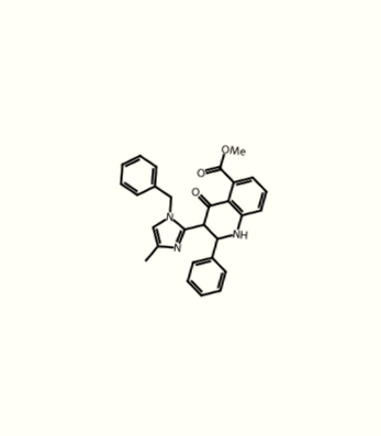 COC(=O)c1cccc2c1C(=O)C(c1nc(C)cn1Cc1ccccc1)C(c1ccccc1)N2